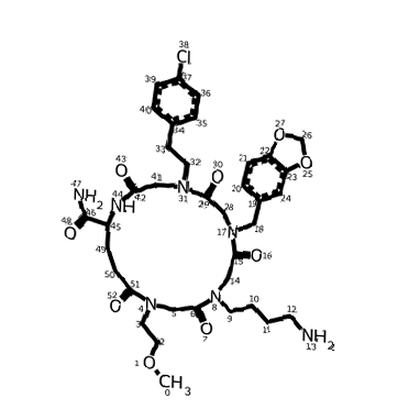 COCCN1CC(=O)N(CCCCN)CC(=O)N(Cc2ccc3c(c2)OCO3)CC(=O)N(CCc2ccc(Cl)cc2)CC(=O)NC(C(N)=O)CCC1=O